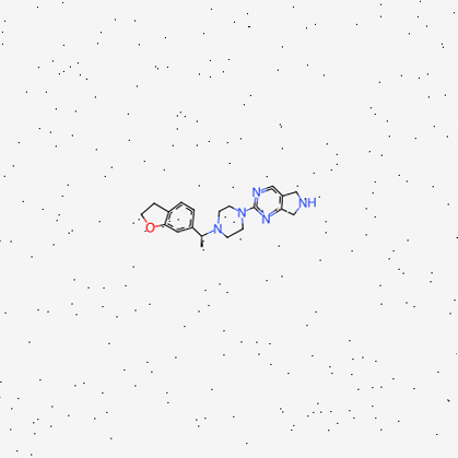 C[C@@H](c1ccc2c(c1)OCC2)N1CCN(c2ncc3c(n2)CNC3)CC1